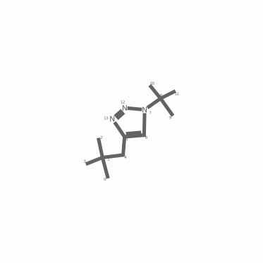 CC(C)(C)Cc1cn(C(C)(C)C)nn1